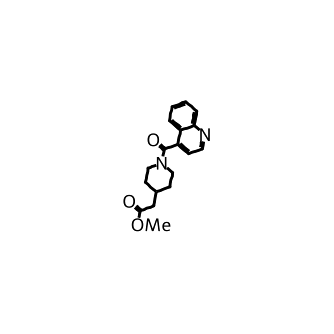 COC(=O)CC1CCN(C(=O)c2ccnc3ccccc23)CC1